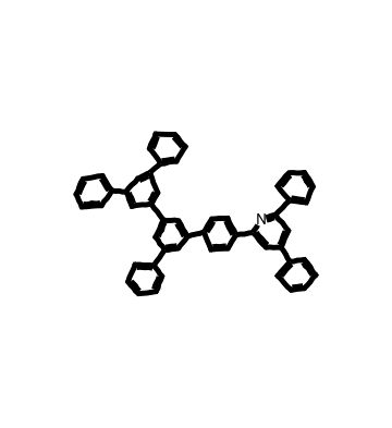 c1ccc(-c2cc(-c3ccccc3)cc(-c3cc(-c4ccccc4)cc(-c4ccc(-c5cc(-c6ccccc6)cc(-c6ccccc6)n5)cc4)c3)c2)cc1